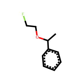 CC(O[CH]CF)c1ccccc1